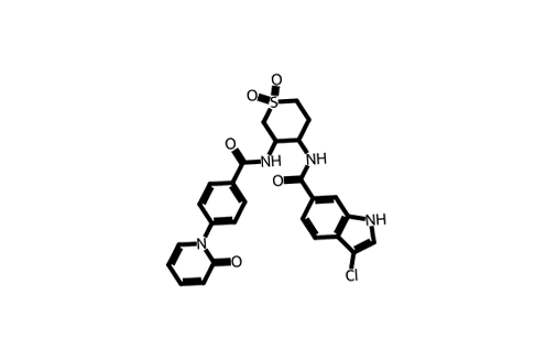 O=C(NC1CCS(=O)(=O)CC1NC(=O)c1ccc(-n2ccccc2=O)cc1)c1ccc2c(Cl)c[nH]c2c1